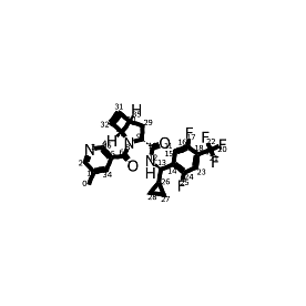 Cc1cncc(C(=O)N2[C@@H](C(=O)N[C@@H](c3cc(F)c(C(F)(F)F)cc3F)C3CC3)C[C@H]3C#C[C@H]32)c1